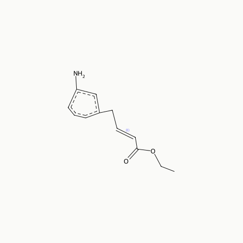 CCOC(=O)/C=C/Cc1cccc(N)c1